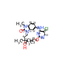 Cn1c(=O)n(CCC(C)(C)O)c2cc(Nc3nc(OCC(F)(F)F)ncc3Cl)ccc21